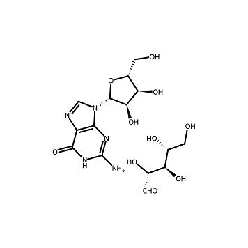 Nc1nc2c(ncn2[C@@H]2O[C@H](CO)[C@@H](O)[C@H]2O)c(=O)[nH]1.O=C[C@H](O)[C@H](O)[C@H](O)CO